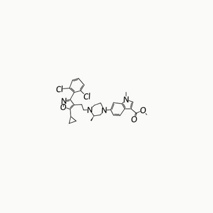 COC(=O)c1cn(C)c2cc(N3CCN(CCc4c(-c5c(Cl)cccc5Cl)noc4C4CC4)[C@H](C)C3)ccc12